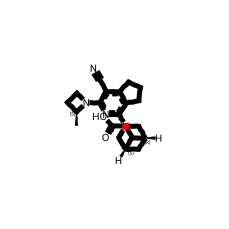 C[C@H]1CCN1c1nc(N2C[C@H]3C[C@@H](C2)C3CC(=O)O)c2c(c1C#N)CCC2